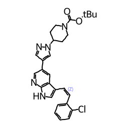 CC(C)(C)OC(=O)N1CCC(n2cc(-c3cnc4[nH]cc(/C=C\c5ccccc5Cl)c4c3)cn2)CC1